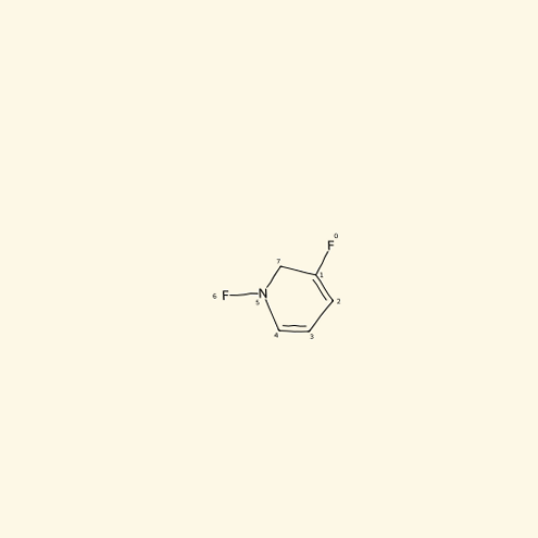 FC1=CC=CN(F)C1